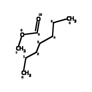 CCCCCCC.COC=O